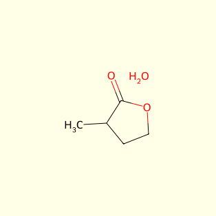 CC1CCOC1=O.O